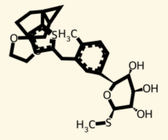 CS[C@H]1O[C@@H](c2ccc(C)c(Cc3ccc(C45CCC6(CC4C5)OCCO6)s3)c2)[C@H](O)[C@@H](O)[C@@H]1O